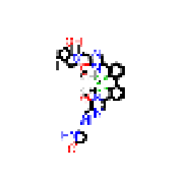 COc1nc(-c2cccc(-c3cccc(-c4cnc(CN5CC[C@@H]6CC[C@@H](O)[C@@H]65)c(OC)n4)c3Cl)c2Cl)cnc1CNC[C@@H]1CCC(=O)N1